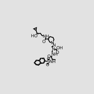 CC(NS(=O)(=O)c1ccc2ccccc2c1)C(=O)NCN(C=NN1CCC[C@H](C(=O)NCC[C@H](O)C2CC2)C1)C(=O)O